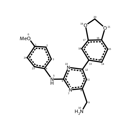 COc1ccc(Nc2nc(CN)cc(-c3ccc4c(c3)OCO4)n2)cc1